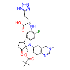 CC1CCC(=O)C1(COC(=O)C(C)(C)C)N(c1ccc(N[C@@H](CCc2nnn[nH]2)C(=O)O)c(F)c1)C1CCC2=C(C1)CN(C)C=N2